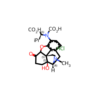 CC(C)[C@@H](C(=O)O)N(C(=O)O)c1ccc2c3c1OC1C(=O)CC[C@@]4(O)[C@@H](C2)N(C)CC[C@]314.Cl